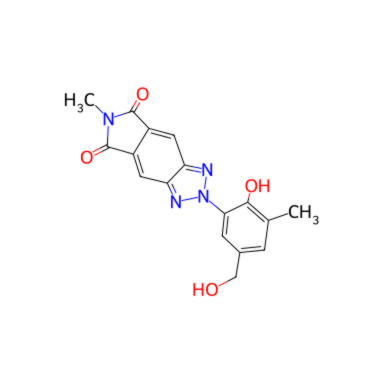 Cc1cc(CO)cc(-n2nc3cc4c(cc3n2)C(=O)N(C)C4=O)c1O